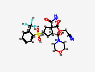 N#CCOC(=O)[C@]1(C(N)=O)C[C@H](S(=O)(=O)c2ccccc2C(F)(F)F)C[C@H]1C(=O)N1CCOCC1